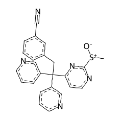 C[S+]([O-])c1nccc(C(Cc2cccc(C#N)c2)(c2cccnc2)c2cccnc2)n1